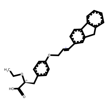 CCO[C@@H](Cc1ccc(OC/C=C/c2ccc3c(c2)Cc2ccccc2-3)cc1)C(=O)O